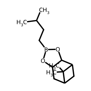 CC(C)CCB1OC2CC3CC(C2O1)C3(C)C